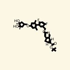 Cc1cc(OCC2C[C@](C)(O)[C@](C)(O)C2)cc(C)c1-c1cc(COc2cc3c(cn2)[C@H]2[C@@H](C3)[C@@H]2C(=O)OC(C)(C)C)c(F)cc1F